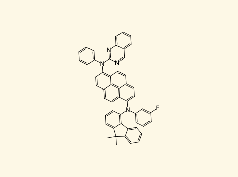 CC1(C)c2ccccc2-c2c(N(c3cccc(F)c3)c3ccc4ccc5c(N(c6ccccc6)c6ncc7ccccc7n6)ccc6ccc3c4c65)cccc21